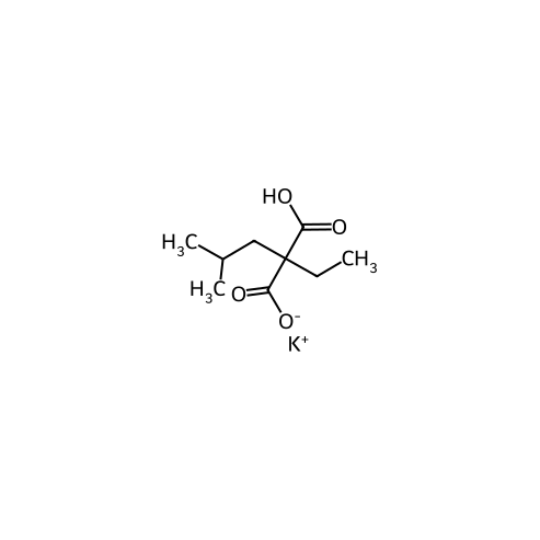 CCC(CC(C)C)(C(=O)[O-])C(=O)O.[K+]